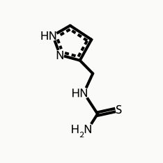 NC(=S)NCc1cc[nH]n1